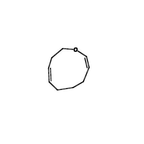 C1=CCCOC=CCCC1